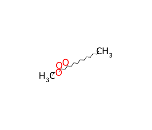 CCCCCCCCCCC(=O)CC(=O)OCC